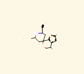 C#CC1CC2(CC(C)N1)OCC(O)c1cc(Cl)sc12